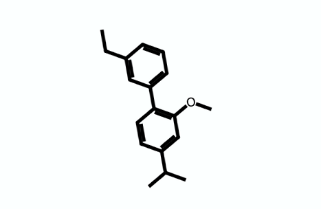 CCc1cccc(-c2ccc(C(C)C)cc2OC)c1